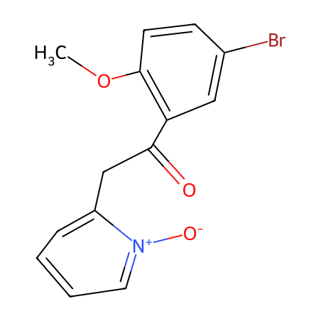 COc1ccc(Br)cc1C(=O)Cc1cccc[n+]1[O-]